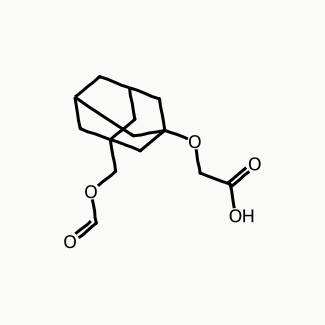 O=COCC12CC3CC(C1)CC(OCC(=O)O)(C3)C2